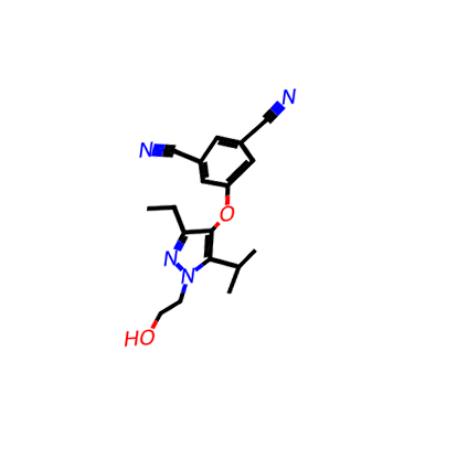 CCc1nn(CCO)c(C(C)C)c1Oc1cc(C#N)cc(C#N)c1